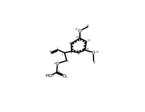 C=CC(COC(=O)O)c1cc(OC)cc(OC)c1